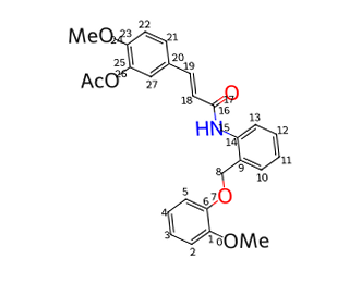 COc1ccccc1OCc1ccccc1NC(=O)C=Cc1ccc(OC)c(OC(C)=O)c1